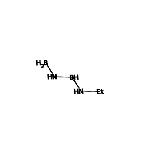 BNBNCC